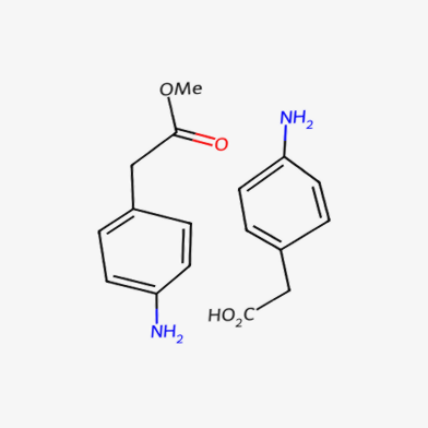 COC(=O)Cc1ccc(N)cc1.Nc1ccc(CC(=O)O)cc1